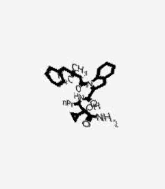 CCCC(NC(=O)C1CC2CCCCC2N1C(=O)[CH]C(C)(C)CC1CCCCC1)C(O)(C(N)=O)C1CC1